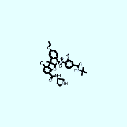 CCOc1ccc2c(c1)C(C)(c1cc(C(=O)N[C@@H]3CCNC3)ccc1Cl)C(=O)N2S(=O)(=O)c1ccc(C(=O)NC(C)(C)C)cc1OC